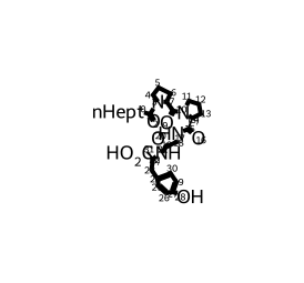 CCCCCCCC(=O)N1CCCC1C(=O)N1CCC[C@H]1C(=O)NCC(=O)N[C@@H](Cc1ccc(O)cc1)C(=O)O